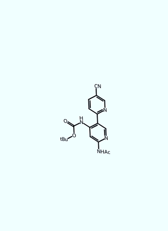 CC(=O)Nc1cc(NC(=O)OC(C)(C)C)c(-c2ccc(C#N)cn2)cn1